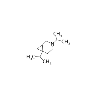 CC(C)N1CCC2(C(C)C)CC2C1